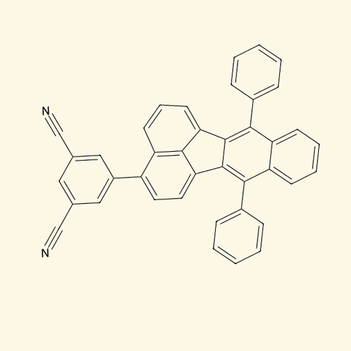 N#Cc1cc(C#N)cc(-c2ccc3c4c(cccc24)-c2c-3c(-c3ccccc3)c3ccccc3c2-c2ccccc2)c1